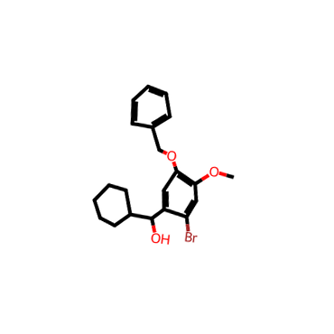 COc1cc(Br)c(C(O)C2CCCCC2)cc1OCc1ccccc1